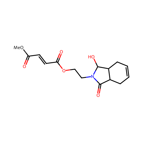 COC(=O)/C=C/C(=O)OCCN1C(=O)C2CC=CCC2C1O